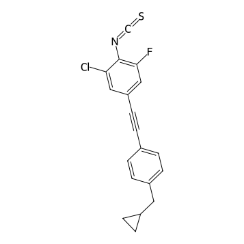 Fc1cc(C#Cc2ccc(CC3CC3)cc2)cc(Cl)c1N=C=S